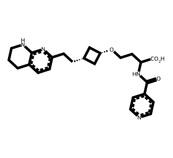 O=C(NC(CCO[C@H]1C[C@@H](CCc2ccc3c(n2)NCCC3)C1)C(=O)O)c1ccncc1